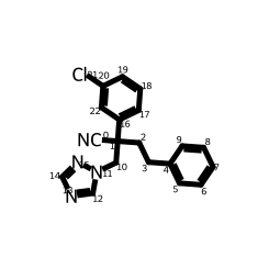 N#CC(CCc1ccccc1)(Cn1cncn1)c1cccc(Cl)c1